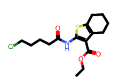 CCOC(=O)c1c(NC(=O)CCCCCl)sc2c1CCCC2